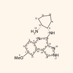 COc1ccc2nc(N[C@H]3CCCC[C@H]3N)c3n[nH]cc3c2c1